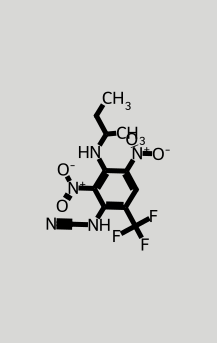 CCC(C)Nc1c([N+](=O)[O-])cc(C(F)(F)F)c(NC#N)c1[N+](=O)[O-]